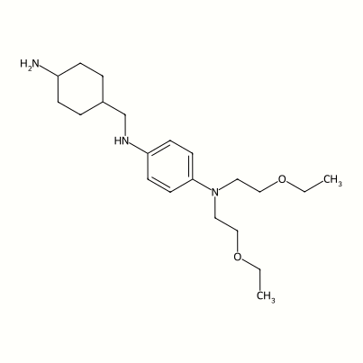 CCOCCN(CCOCC)c1ccc(NCC2CCC(N)CC2)cc1